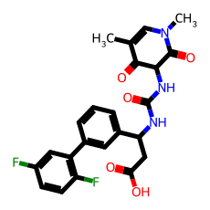 CC1=CN(C)C(=O)C(NC(=O)NC(CC(=O)O)c2cccc(-c3cc(F)ccc3F)c2)C1=O